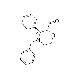 O=CC1OCCN(Cc2ccccc2)[C@H]1c1ccccc1